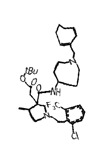 CC1CN(Cc2c(Cl)cccc2C(F)(F)F)CC1(CC(=O)OC(C)(C)C)C(=O)NC1CCN(CC2=CCCCC2)CC1